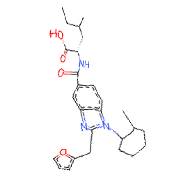 CCC(C)C[C@H](NC(=O)c1ccc2c(c1)nc(Cc1ccco1)n2C1CCCCC1C)C(=O)O